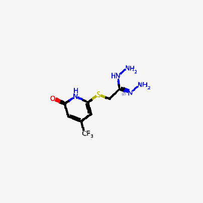 N/N=C(/CSc1cc(C(F)(F)F)cc(=O)[nH]1)NN